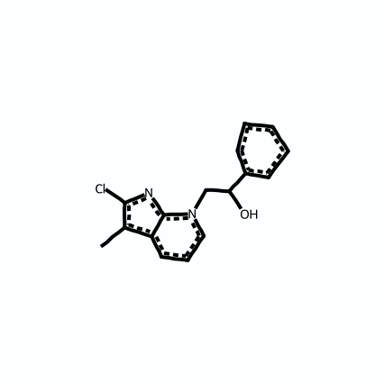 Cc1c2cccn(CC(O)c3ccccc3)c-2nc1Cl